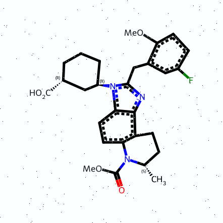 COC(=O)N1c2ccc3c(nc(Cc4cc(F)ccc4OC)n3[C@@H]3CCC[C@@H](C(=O)O)C3)c2CC[C@@H]1C